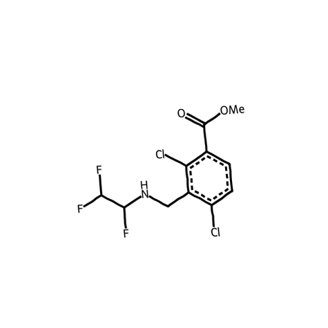 COC(=O)c1ccc(Cl)c(CNC(F)C(F)F)c1Cl